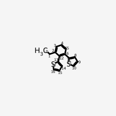 CCc1cc[c]c(-c2cccs2)c1-c1cccs1